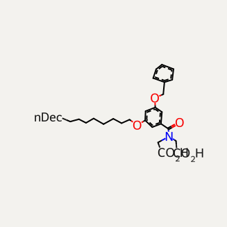 CCCCCCCCCCCCCCCCCCOc1cc(OCc2ccccc2)cc(C(=O)N(CC(=O)O)CC(=O)O)c1